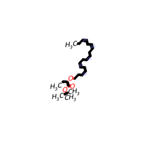 CC/C=C\C/C=C\C/C=C\C/C=C\C/C=C\CCOC(CC)C(=O)OC(C)(C)C